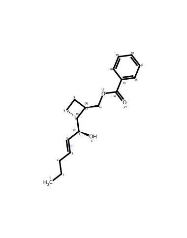 CCC/C=C/[C@H](O)[C@@H]1CC[C@H]1COC(=O)c1ccccc1